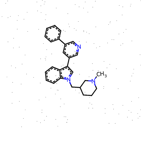 CN1CCCC(Cn2cc(-c3cncc(-c4ccccc4)c3)c3ccccc32)C1